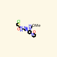 COCCNc1cc(-n2ccccc2=O)ccc1-n1cc(CNC(=O)c2ccc(Cl)s2)nn1